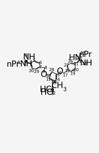 CCCNC(=N)c1ccc(COc2cc(C)cc(OCc3ccc(C(=N)NCCC)cc3)c2)cc1.Cl.Cl